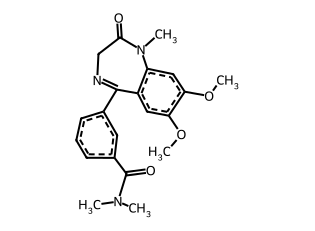 COc1cc2c(cc1OC)N(C)C(=O)CN=C2c1cccc(C(=O)N(C)C)c1